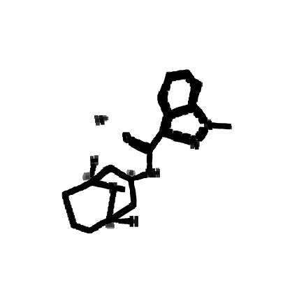 CN1[C@@H]2CCC[C@H]1C[C@@H](NC(=O)c1nn(C)c3ccccc13)C2.[H+]